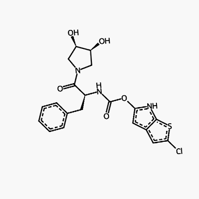 O=C(N[C@@H](Cc1ccccc1)C(=O)N1C[C@@H](O)[C@@H](O)C1)Oc1cc2cc(Cl)sc2[nH]1